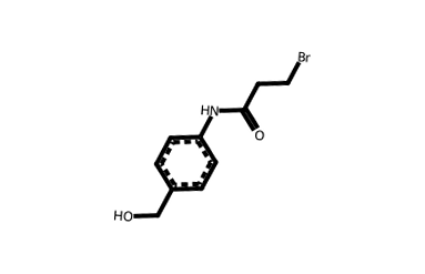 O=C(CCBr)Nc1ccc(CO)cc1